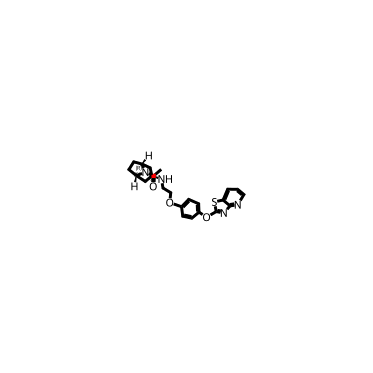 CC(=O)N1[C@@H]2CC[C@H]1C[C@H](NCCOc1ccc(Oc3nc4ncccc4s3)cc1)C2